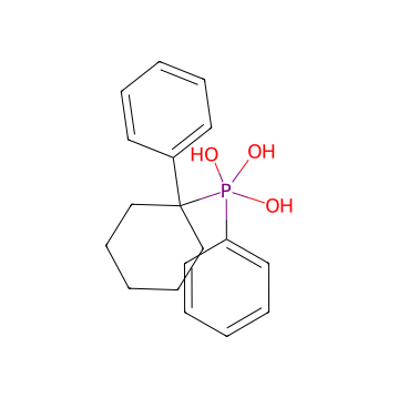 OP(O)(O)(c1ccccc1)C1(c2ccccc2)CCCCC1